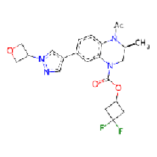 CC(=O)N1c2ccc(-c3cnn(C4COC4)c3)cc2N(C(=O)OC2CC(F)(F)C2)C[C@@H]1C